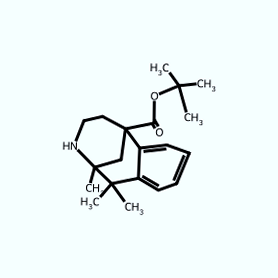 CC(C)(C)OC(=O)C12CCNC(C)(C1)C(C)(C)c1ccccc12